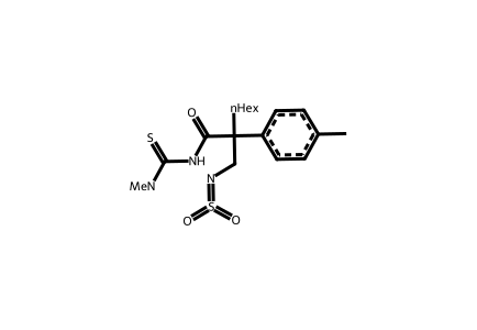 CCCCCCC(CN=S(=O)=O)(C(=O)NC(=S)NC)c1ccc(C)cc1